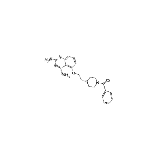 Nc1nc(N)c2c(OCCN3CCN(C(=O)c4ccccc4)CC3)cccc2n1